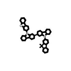 CC1(C)c2ccccc2-c2ccc(-n3c4ccccc4c4ccc(-c5ccc6c7ccccc7n(-c7ccc8c(c7)oc7ccccc78)c6c5)cc43)cc21